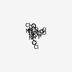 O=C(NC(Cn1c(-c2ccc(Cl)cc2)nn(Cc2ncn(-c3ncccc3Cl)n2)c1=O)C(F)(F)F)C1CS(=O)(=O)C1